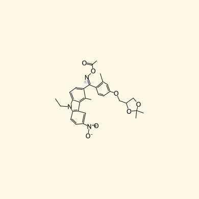 CCn1c2ccc([N+](=O)[O-])cc2c2c(C)c(/C(=N/OC(C)=O)c3ccc(OCC4COC(C)(C)O4)cc3C)ccc21